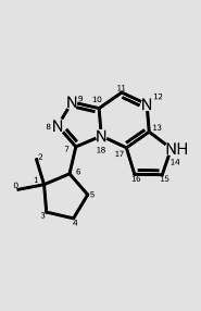 CC1(C)CCCC1c1nnc2cnc3[nH]ccc3n12